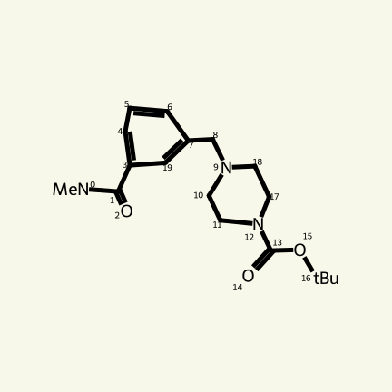 CNC(=O)c1cccc(CN2CCN(C(=O)OC(C)(C)C)CC2)c1